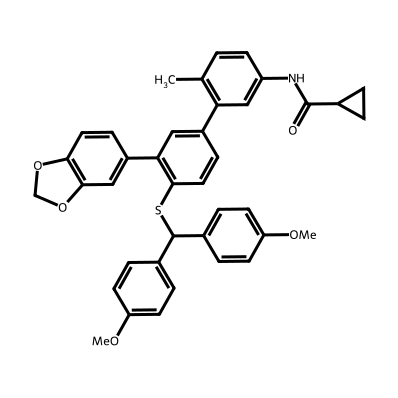 COc1ccc(C(Sc2ccc(-c3cc(NC(=O)C4CC4)ccc3C)cc2-c2ccc3c(c2)OCO3)c2ccc(OC)cc2)cc1